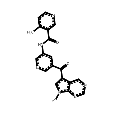 Cc1ccncc1C(=O)Nc1cncc(C(=O)c2cn(C(C)C)c3ncncc23)c1